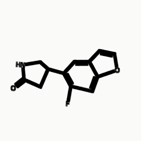 O=C1CC(c2cc3ccoc3cc2F)CN1